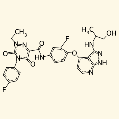 CCn1nc(C(=O)Nc2ccc(Oc3ccnc4[nH]nc(NC(C)CO)c34)c(F)c2)c(=O)n(-c2ccc(F)cc2)c1=O